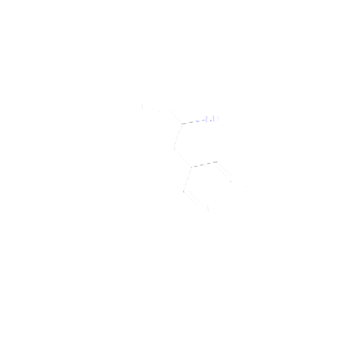 C=CC(C=C)CC(N)C(=O)O